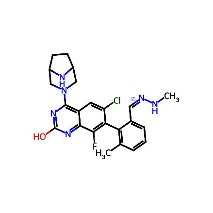 CN/N=C\c1cccc(C)c1-c1c(Cl)cc2c(N3CC4CCC(C3)N4)nc(O)nc2c1F